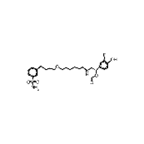 NS(=O)(=O)c1cccc(CCCCOCCCCCCNC[C@H](OC=O)c2ccc(O)c(F)c2)c1